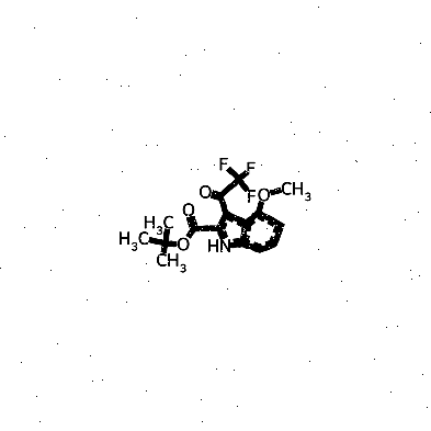 COc1cccc2[nH]c(C(=O)OC(C)(C)C)c(C(=O)C(F)(F)F)c12